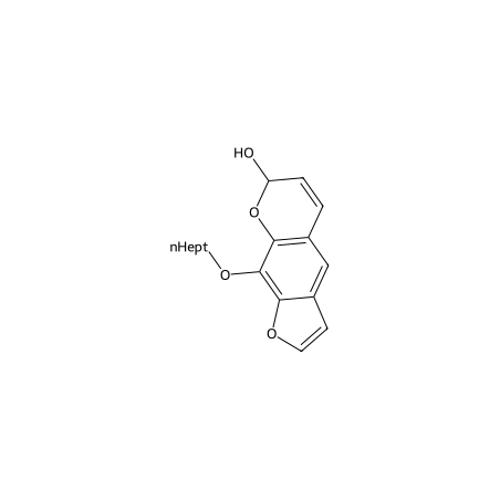 CCCCCCCOc1c2c(cc3ccoc13)C=CC(O)O2